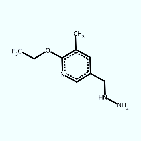 Cc1cc(CNN)cnc1OCC(F)(F)F